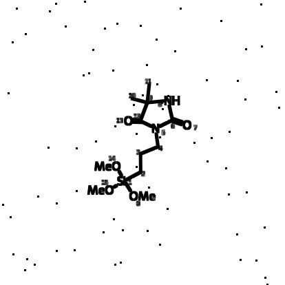 CO[Si](CCCN1C(=O)NC(C)(C)C1=O)(OC)OC